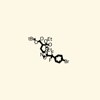 CCOP(=O)(OCC)C(Cc1noc(C(F)(F)c2ccc(Br)cc2)n1)C(=O)OC(C)(C)C